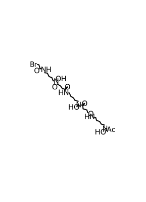 CC(=O)N(O)CCCCCNOCCCC(=O)N(O)CCCCCNC(=O)CCC(=O)N(O)CCCCCNC(=O)CBr